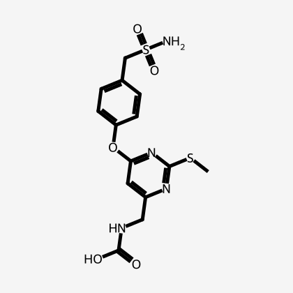 CSc1nc(CNC(=O)O)cc(Oc2ccc(CS(N)(=O)=O)cc2)n1